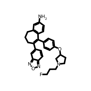 Nc1ccc2c(c1)CCCC(c1ccc3nonc3c1)=C2c1ccc(OC2CCN(CCCF)C2)cc1